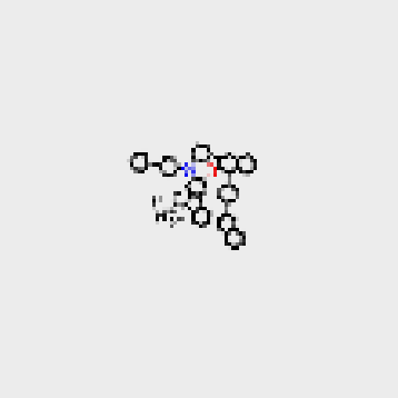 CC1(C)c2ccccc2-c2ccc(N(c3ccc(-c4ccccc4)cc3)c3cccc4c3oc3c(-c5ccc(-c6ccc7ccccc7c6)cc5)c5ccccc5cc34)cc21